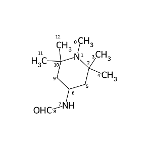 CN1C(C)(C)CC(NC=O)CC1(C)C